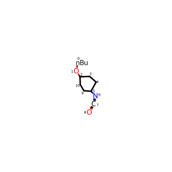 CCCCOC1CCC(N=C=O)CC1